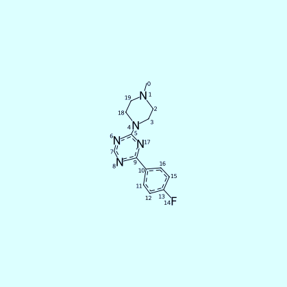 CN1CCN(c2ncnc(-c3ccc(F)cc3)n2)CC1